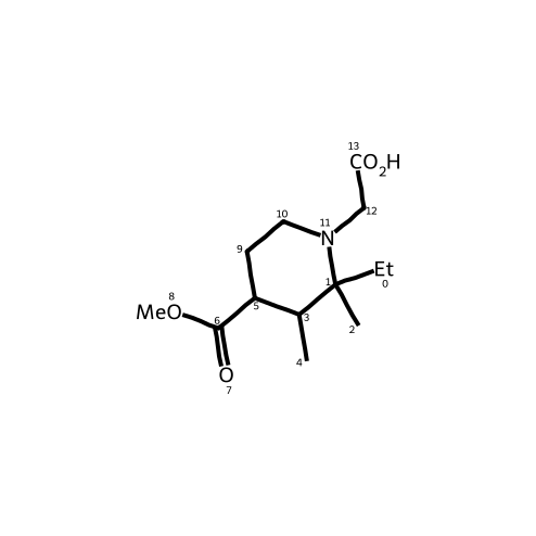 CCC1(C)C(C)C(C(=O)OC)CCN1CC(=O)O